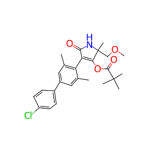 COCC1(C)NC(=O)C(c2c(C)cc(-c3ccc(Cl)cc3)cc2C)=C1OC(=O)C(C)(C)C